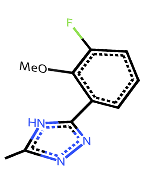 COc1c(F)cccc1-c1nnc(C)[nH]1